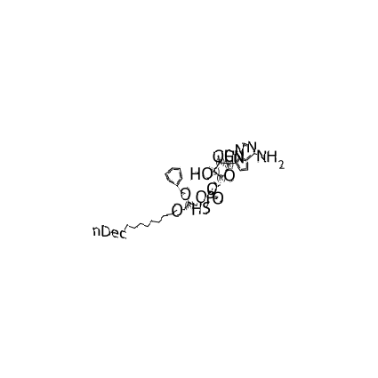 CCCCCCCCCCCCCCCCCCOC[C@H](COP(=O)(S)OC[C@H]1O[C@@](C#N)(c2ccc3c(N)ncnn23)[C@H](O)[C@@H]1O)OCc1ccccc1